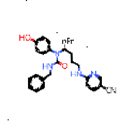 CCC[C@H](CCCNc1ccc(C#N)cn1)N(C(=O)NCc1ccccc1)c1ccc(O)cc1